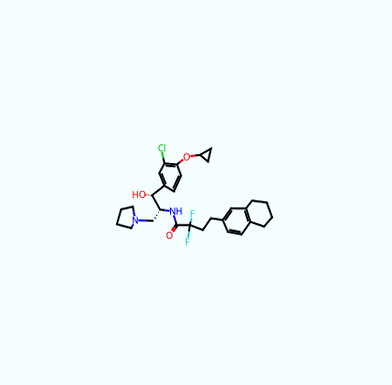 O=C(N[C@H](CN1CCCC1)[C@H](O)c1ccc(OC2CC2)c(Cl)c1)C(F)(F)CCc1ccc2c(c1)CCCC2